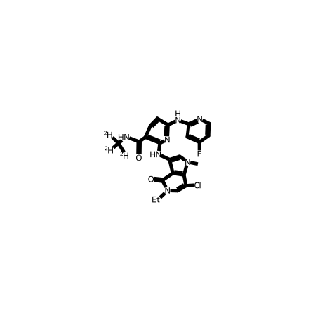 [2H]C([2H])([2H])NC(=O)c1ccc(Nc2cc(F)ccn2)nc1Nc1cn(C)c2c(Cl)cn(CC)c(=O)c12